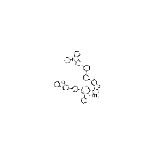 CCC1/C(c2cccc3oc4ccc(C5C=C(c6cccc(-c7ccc8c(c7)c7ccccc7n8-c7ccccc7)c6)C=CC5)cc4c23)=C\CC/C(c2ccc(-c3ccc4c(c3)oc3ccccc34)cc2)=N\C1c1ccccc1